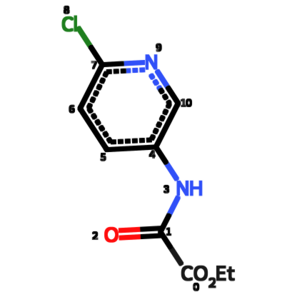 CCOC(=O)C(=O)Nc1ccc(Cl)nc1